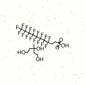 CC(O)(CCO)CCO.O=S(=O)(O)CCC(F)(F)C(F)(F)C(F)(F)C(F)(F)C(F)(F)C(F)(F)C(F)(F)C(F)(F)F